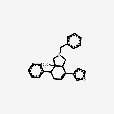 O=C(O)C12CN(Cc3ccccc3)CC1C(c1ccsc1)=CCC2c1ccccc1